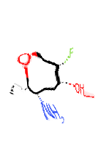 C[C@@H]1O[CH][C@H](F)[C@H](O)[C@@H]1N